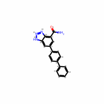 NC(=O)c1cc(-c2ccc(-c3ccccc3)cc2)cc2[nH]nnc12